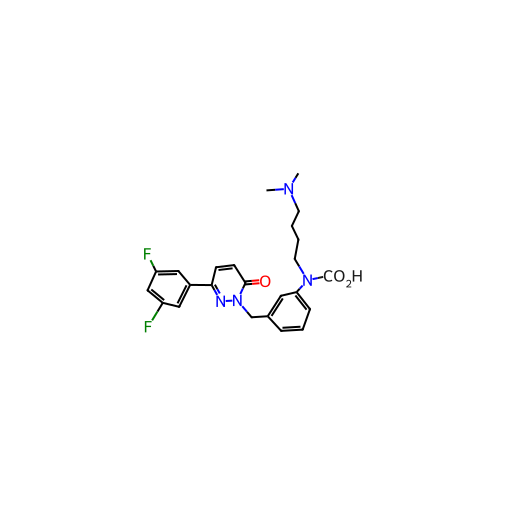 CN(C)CCCCN(C(=O)O)c1cccc(Cn2nc(-c3cc(F)cc(F)c3)ccc2=O)c1